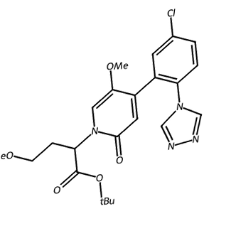 COCCC(C(=O)OC(C)(C)C)n1cc(OC)c(-c2cc(Cl)ccc2-n2cnnc2)cc1=O